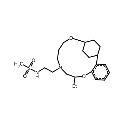 CCC1CN(CCNS(C)(=O)=O)CCCOC2CCC(CC2)c2ccccc2O1